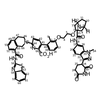 Cc1c(OCCO[C@@H]2C[C@H]3CC[C@@H](C2)N3CC(=O)Nc2ccc3c(C4CCC(=O)NC4=O)nn(C)c3c2)cccc1-c1ccc(N2CCc3cccc(C(=O)Nc4nc5ccccc5s4)c3C2)nc1C(=O)O